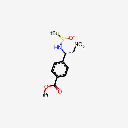 CC(C)OC(=O)c1ccc([C@@H](C[N+](=O)[O-])N[S+]([O-])C(C)(C)C)cc1